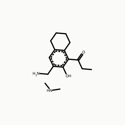 CCC(=O)c1c(O)c(CN)cc2c1CCCC2.CNC